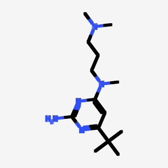 CN(C)CCCN(C)c1cc(C(C)(C)C)nc(N)n1